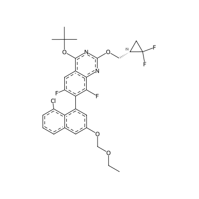 CCOCOc1cc(-c2c(F)cc3c(OC(C)(C)C)nc(OC[C@@H]4CC4(F)F)nc3c2F)c2c(Cl)cccc2c1